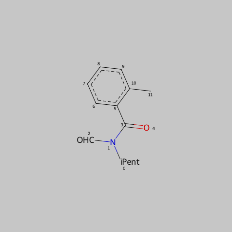 CCCC(C)N(C=O)C(=O)c1ccccc1C